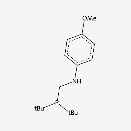 COc1ccc(NCP(C(C)(C)C)C(C)(C)C)cc1